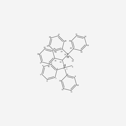 C[PH](c1ccccc1)(c1ccccc1)C(c1ccccc1)[PH](C)(c1ccccc1)c1ccccc1